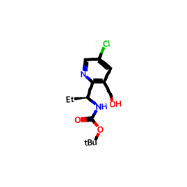 CC[C@H](NC(=O)OC(C)(C)C)c1ncc(Cl)cc1CO